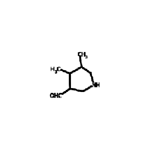 CC1CNCC(C=O)C1C